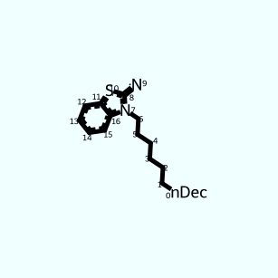 CCCCCCCCCCCCCCCCn1c(=[N])sc2ccccc21